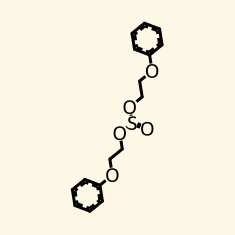 O=S(OCCOc1ccccc1)OCCOc1ccccc1